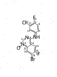 [O-][n+]1cnc(Nc2ccc(F)c(Cl)c2)c2cc(F)c(Br)cc21